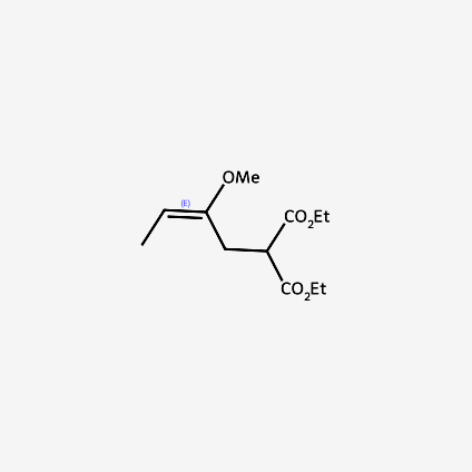 C/C=C(\CC(C(=O)OCC)C(=O)OCC)OC